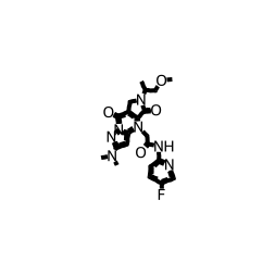 COCC(C)N1Cc2c(n(CC(=O)Nc3ccc(F)cn3)c3cc(N(C)C)nn3c2=O)C1=O